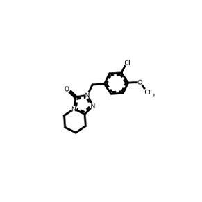 O=c1n(Cc2ccc(OC(F)(F)F)c(Cl)c2)nc2n1CCCC2